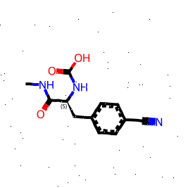 CNC(=O)[C@H](Cc1ccc(C#N)cc1)NC(=O)O